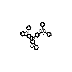 c1ccc(-c2nc(-c3ccccc3)nc(-c3ccc(-n4c5cc6c(cc5c5cc7c8ccccc8n(-c8ccccc8)c7cc54)oc4ccccc46)cc3)n2)cc1